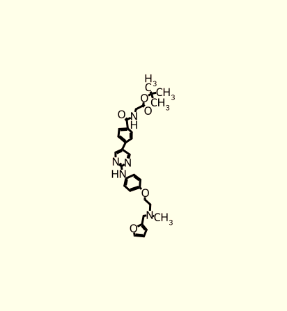 CN(CCOc1ccc(Nc2ncc(-c3ccc(C(=O)NCC(=O)OC(C)(C)C)cc3)cn2)cc1)Cc1ccco1